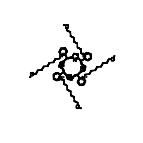 COCCCCCCCCC[n+]1ccccc1C1=C2C=CC(=N2)C(c2cccc[n+]2CCCCCCCCCOC)=C2C=CC(=N2)C(c2cccc[n+]2CCCCCCCCCOC)=C2C=CC(=N2)C(c2cccc[n+]2CCCCCCCCCOC)=C2C=CC1=N2